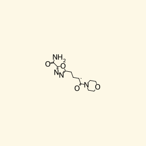 NC(=O)c1nnc(CC[CH]C(=O)N2CCOCC2)o1